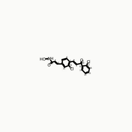 O=C(C=Cc1ccc(C=CC(=O)c2ccccc2Cl)c(Cl)c1)NO